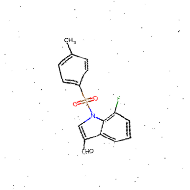 Cc1ccc(S(=O)(=O)n2cc(C=O)c3cccc(F)c32)cc1